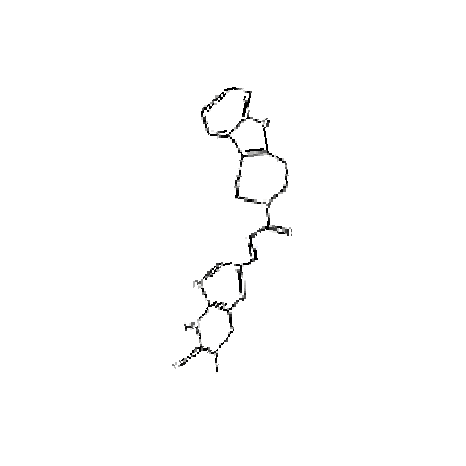 CC1Cc2cc(/C=C/C(=O)N3CCc4oc5ccccc5c4CC3)cnc2NC1=O